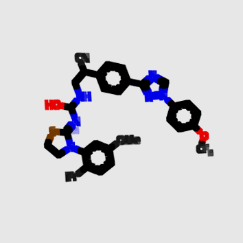 COc1ccc(C(C)C)c(N2CCS/C2=N\C(O)NCC(C#N)c2ccc(-c3ncn(-c4ccc(OC(F)(F)F)cc4)n3)cc2)c1